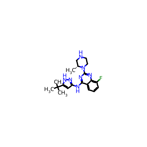 C[C@@H]1CNCCN1c1nc(Nc2cc(C(C)(C)C)[nH]n2)c2cccc(F)c2n1